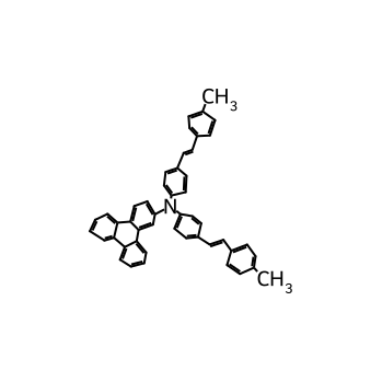 Cc1ccc(/C=C/c2ccc(N(c3ccc(/C=C/c4ccc(C)cc4)cc3)c3ccc4c5ccccc5c5ccccc5c4c3)cc2)cc1